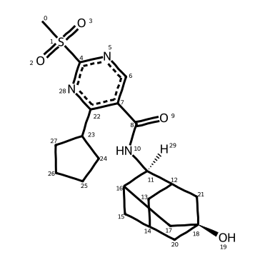 CS(=O)(=O)c1ncc(C(=O)N[C@H]2C3CC4CC2C[C@@](O)(C4)C3)c(C2CCCC2)n1